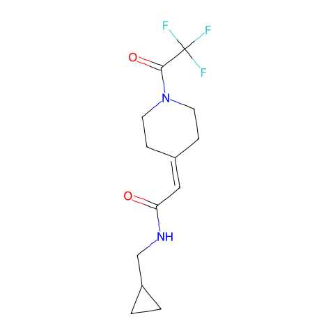 O=C(C=C1CCN(C(=O)C(F)(F)F)CC1)NCC1CC1